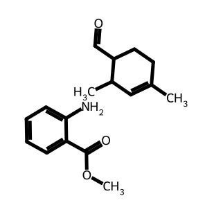 CC1=CC(C)C(C=O)CC1.COC(=O)c1ccccc1N